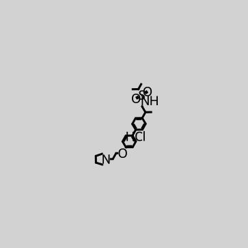 CC(CNS(=O)(=O)C(C)C)c1ccc(-c2ccc(OCCN3CCCC3)cc2)cc1.Cl